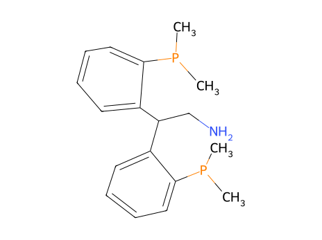 CP(C)c1ccccc1C(CN)c1ccccc1P(C)C